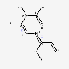 C=C/C(CC)=N/N=C(/C)N(C)C(C)=O